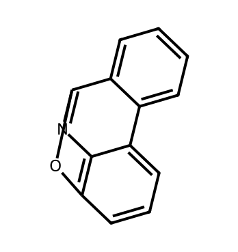 c1ccc2c(c1)c1nc3c(cccc23)o1